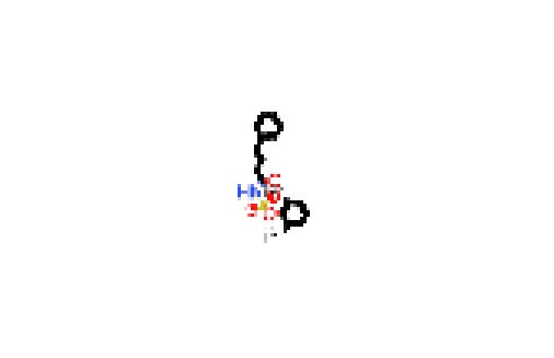 CC(C)c1cccc(C(C)C)c1OS(=O)(=O)NC(=O)C/C=C/c1ccccc1